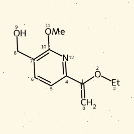 C=C(OCC)c1ccc(CO)c(OC)n1